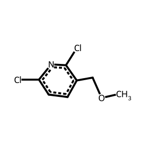 COCc1ccc(Cl)nc1Cl